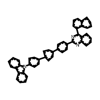 c1ccc2c(-c3nc(-c4ccc(-c5ccc(-c6ccc(-n7c8ccccc8c8ccccc87)cc6)cc5)cc4)nc4ccccc34)cccc2c1